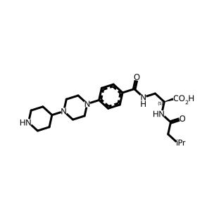 CC(C)CC(=O)N[C@@H](CNC(=O)c1ccc(N2CCN(C3CCNCC3)CC2)cc1)C(=O)O